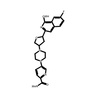 CNC(=O)c1ccc(N2CCN(C3COC(c4cc5ccc(F)cc5c(OC)n4)C3)CC2)cn1